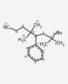 CCC(C)C(C)(C)CC(c1ccccc1)C(C)(C)CCC#N